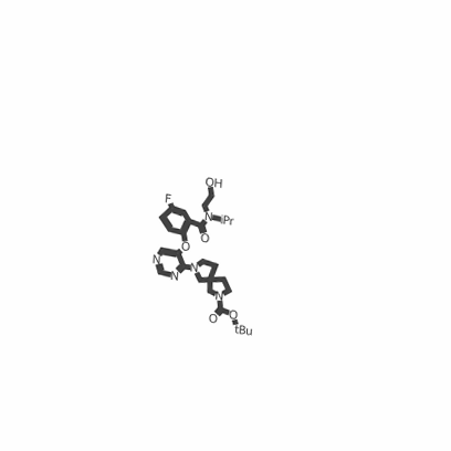 CC(C)N(CCO)C(=O)c1cc(F)ccc1Oc1cncnc1N1CCC2(CCN(C(=O)OC(C)(C)C)C2)C1